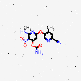 CNc1nc(Oc2cnc(C#N)cc2C)cc(OC(N)=O)c1[N+](=O)[O-]